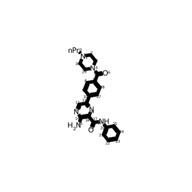 CCCN1CCN(C(=O)c2ccc(-c3cnc(N)c(C(=O)Nc4ccccc4)n3)cc2)CC1